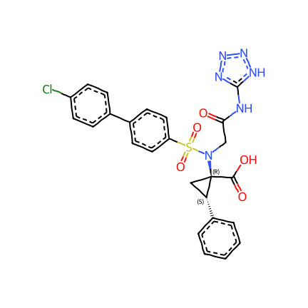 O=C(CN([C@]1(C(=O)O)C[C@H]1c1ccccc1)S(=O)(=O)c1ccc(-c2ccc(Cl)cc2)cc1)Nc1nnn[nH]1